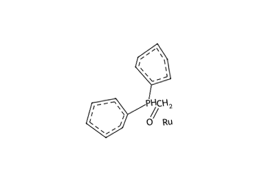 C=O.[Ru].c1ccc(Pc2ccccc2)cc1